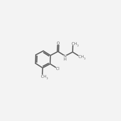 Cc1cccc(C(=O)NC(C)C)c1Cl